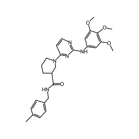 COc1cc(Nc2nccc(N3CCCC(C(=O)NCc4ccc(C)cc4)C3)n2)cc(OC)c1OC